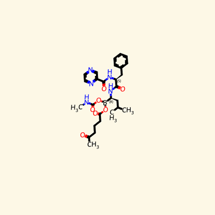 CNC(=O)OB(OC(=O)CCCC(C)=O)[C@H](CC(C)C)NC(=O)[C@H](Cc1ccccc1)NC(=O)c1cnccn1